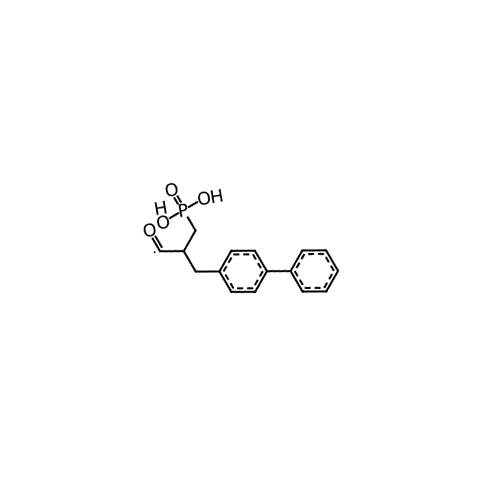 O=[C]C(Cc1ccc(-c2ccccc2)cc1)CP(=O)(O)O